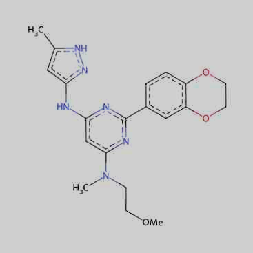 COCCN(C)c1cc(Nc2cc(C)[nH]n2)nc(-c2ccc3c(c2)OCCO3)n1